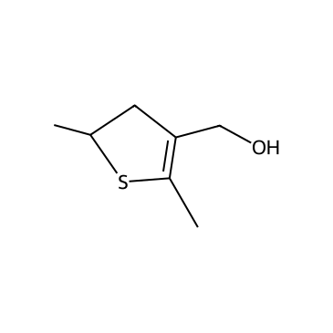 CC1=C(CO)CC(C)S1